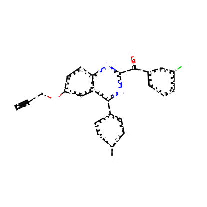 C#CCOc1ccc2nc(C(=O)c3cccc(Cl)c3)nc(-c3ccc(C(C)C)cc3)c2c1